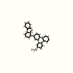 Nc1ccc(-c2ccccc2-c2ccc(-c3cccc4c3sc3ccccc34)cc2)cc1